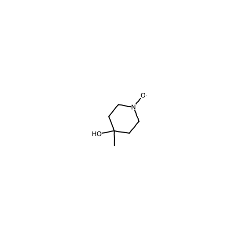 CC1(O)CCN([O])CC1